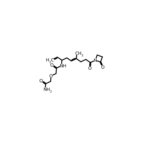 C=CC(C/C=C(\C)CCC(=O)N1CCC1=O)NC(=O)COCC(N)=O